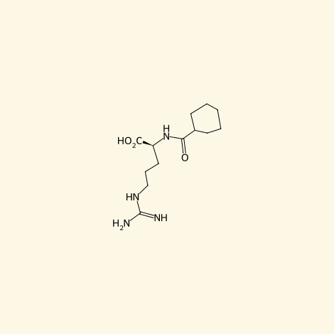 N=C(N)NCCC[C@H](NC(=O)C1CCCCC1)C(=O)O